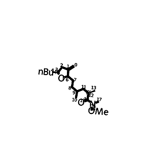 C=C1C[C@H](CCCC)OC1CCC(C)C[C@@H](C)C(=O)N(C)OC